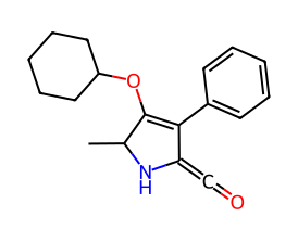 CC1NC(=C=O)C(c2ccccc2)=C1OC1CCCCC1